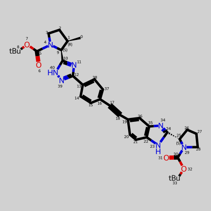 C[C@@H]1CCN(C(=O)OC(C)(C)C)[C@@H]1c1nc(-c2ccc(C#Cc3ccc4[nH]c([C@@H]5CCCN5C(=O)OC(C)(C)C)nc4c3)cc2)n[nH]1